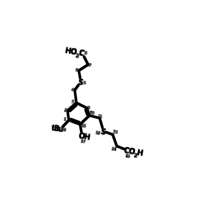 CC(C)(C)c1cc(CSCCC(=O)O)cc(CSCCC(=O)O)c1O